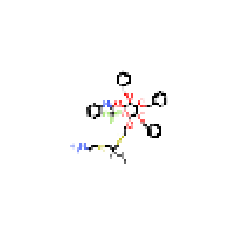 CC(CSCCN)CSCCOC1OC(O/C(=N/c2ccccc2)C(F)(F)F)C(OCc2ccccc2)C(OCc2ccccc2)C1OCc1ccccc1